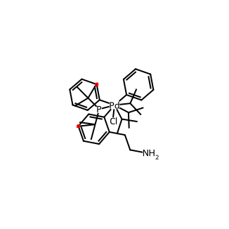 C[CH](C)[Pd]([Cl])([c]1ccccc1)([c]1ccccc1)([c]1ccccc1CCN)([CH](C)C)([CH](C)C)[P](C(C)(C)C)C(C)(C)C